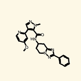 COc1ccnc(-c2cnn(C)c2C(=O)NC2CCn3nc(-c4ccccc4)nc3C2)c1